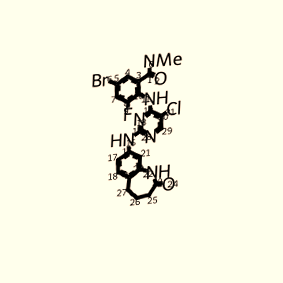 CNC(=O)c1cc(Br)cc(F)c1Nc1nc(Nc2ccc3c(c2)NC(=O)CCC3)ncc1Cl